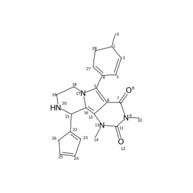 CC1C=CC(c2c3c(=O)n(C)c(=O)n(C)c3c3n2CCNC3C2=CC=CC2)=CC1